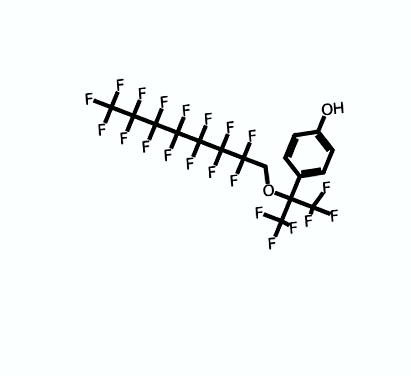 Oc1ccc(C(OCC(F)(F)C(F)(F)C(F)(F)C(F)(F)C(F)(F)C(F)(F)C(F)(F)F)(C(F)(F)F)C(F)(F)F)cc1